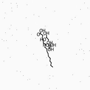 CCCCCCCCCCCCCCCC(=O)O.OB(O)O.OCC(O)CO